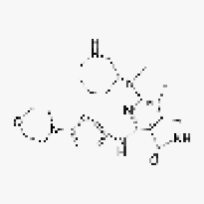 CN(c1nc(Nc2ccc(N3CCOCC3)cc2)c2c(c1F)CNC2=O)C1CCCCNC1